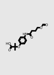 CC(C)(Oc1ccc(NC(=O)CCCOC=O)cc1)C(=O)O